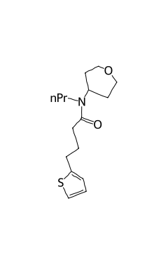 [CH2-][CH+]CN(C(=O)CCCc1cccs1)C1CCOCC1